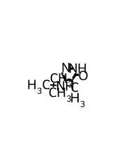 Cc1c(NC(C)(C)C)cn[nH]c1=O